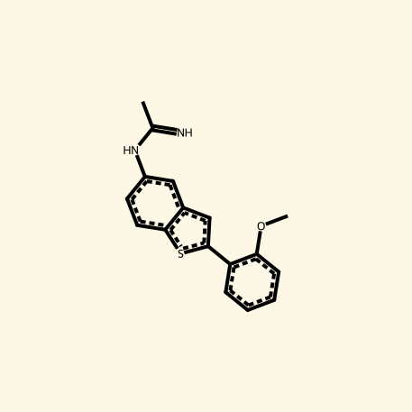 COc1ccccc1-c1cc2cc(NC(C)=N)ccc2s1